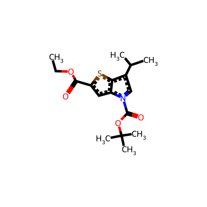 CCOC(=O)c1cc2c(s1)c(C(C)C)cn2C(=O)OC(C)(C)C